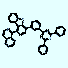 c1ccc(-c2nc(-c3ccccc3)nc(-c3cccc(-c4cnc(-c5nccc6ccccc56)c5c4sc4ccccc45)c3)n2)cc1